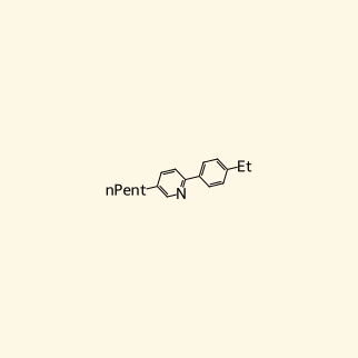 CCCCCc1ccc(-c2ccc(CC)cc2)nc1